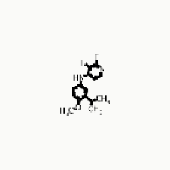 COc1ccc(Nc2ccnc(F)c2F)cc1C(C)C